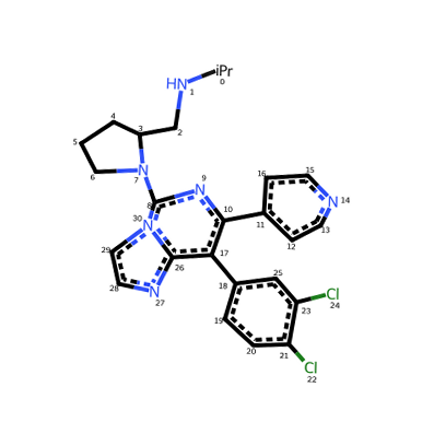 CC(C)NCC1CCCN1c1nc(-c2ccncc2)c(-c2ccc(Cl)c(Cl)c2)c2nccn12